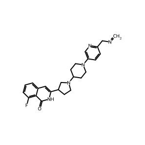 C=NCc1ccc(N2CCC(N3CCC(c4cc5cccc(F)c5c(=O)[nH]4)C3)CC2)cn1